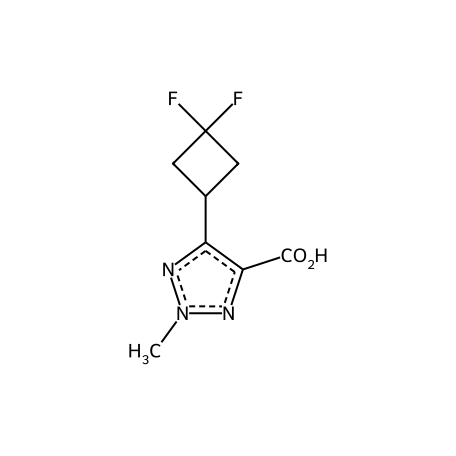 Cn1nc(C(=O)O)c(C2CC(F)(F)C2)n1